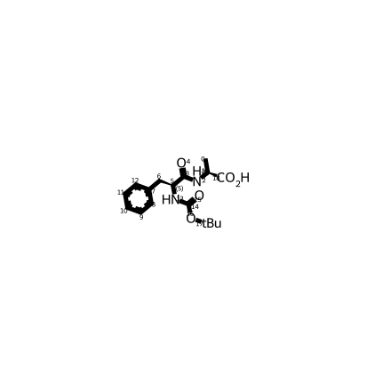 C[C@H](NC(=O)[C@H](Cc1ccccc1)NC(=O)OC(C)(C)C)C(=O)O